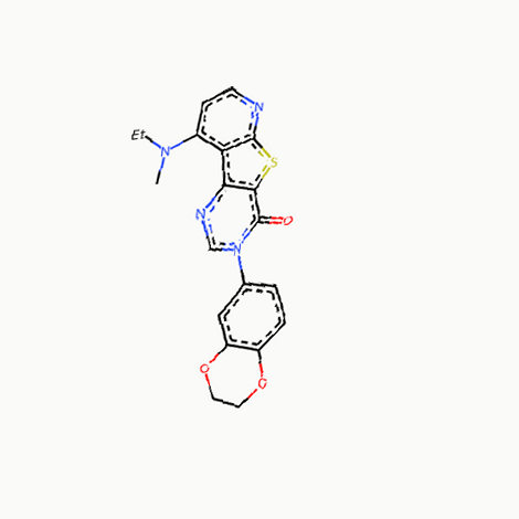 CCN(C)c1ccnc2sc3c(=O)n(-c4ccc5c(c4)OCCO5)cnc3c12